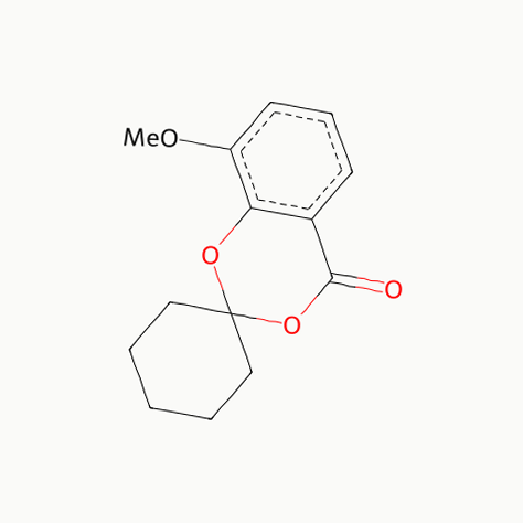 COc1cccc2c1OC1(CCCCC1)OC2=O